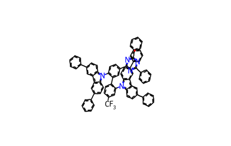 FC(F)(F)c1ccc(-c2cc(-c3nc(-c4ccccc4)nc(-c4ccccc4)n3)ccc2-n2c3ccc(-c4ccccc4)cc3c3cc(-c4ccccc4)ccc32)c(-n2c3ccc(-c4ccccc4)cc3c3cc(-c4ccccc4)ccc32)c1